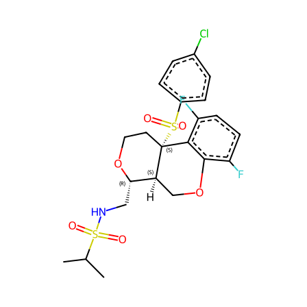 CC(C)S(=O)(=O)NC[C@@H]1OCC[C@@]2(S(=O)(=O)c3ccc(Cl)cc3)c3c(F)ccc(F)c3OC[C@@H]12